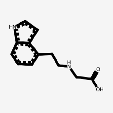 O=C(O)CNCCc1cccc2[nH]ccc12